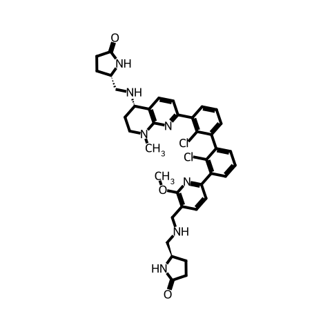 COc1nc(-c2cccc(-c3cccc(-c4ccc5c(n4)N(C)CC[C@@H]5NC[C@@H]4CCC(=O)N4)c3Cl)c2Cl)ccc1CNC[C@H]1CCC(=O)N1